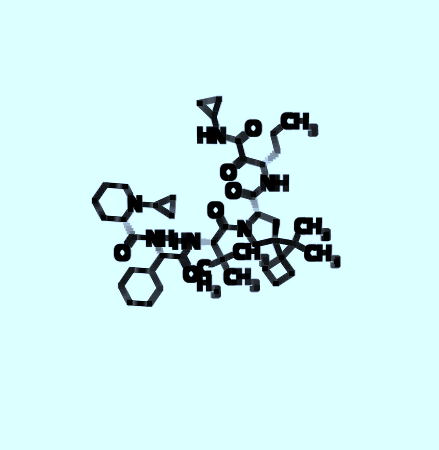 CCC[C@H](NC(=O)[C@@H]1C[C@@]2(CN1C(=O)[C@@H](NC(=O)[C@@H](NC(=O)[C@@H]1CCCCN1C1CC1)C1CCCCC1)C(C)(C)C)C(C)(C)C21CCC1)C(=O)C(=O)NC1CC1